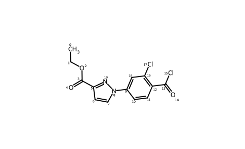 CCOC(=O)c1ccn(-c2ccc(C(=O)Cl)c(Cl)c2)n1